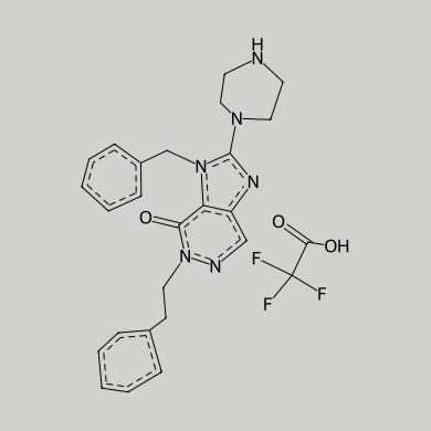 O=C(O)C(F)(F)F.O=c1c2c(cnn1CCc1ccccc1)nc(N1CCNCC1)n2Cc1ccccc1